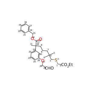 CCOC(=O)CSCC(C)(C)CCCC(C)(C(=O)OCc1ccccc1)c1cccc(OCC=O)c1